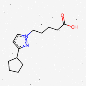 O=C(O)CCCCn1ccc(C2CCCC2)n1